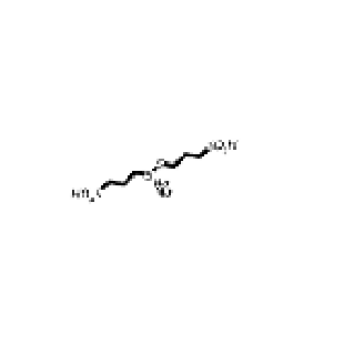 O=S(=O)(O)CCCSSCCCS(=O)(=O)O.[Na].[Na]